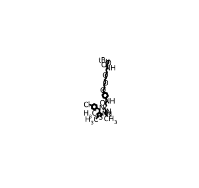 Cc1sc2c(c1C)C(c1ccc(Cl)cc1)=N[C@@H](CC(=O)Nc1ccc(OCCOCCOCCNC(=O)OC(C)(C)C)cc1)c1nnc(C)n1-2